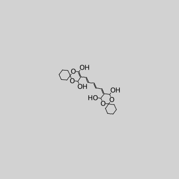 OC1=C(/C=C/C=C/C=C2C(O)OC3(CCCCC3)OC2O)C(O)OC2(CCCCC2)O1